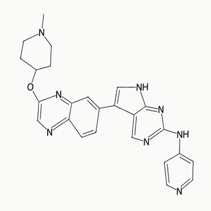 CN1CCC(Oc2cnc3ccc(-c4c[nH]c5nc(Nc6ccncc6)ncc45)cc3n2)CC1